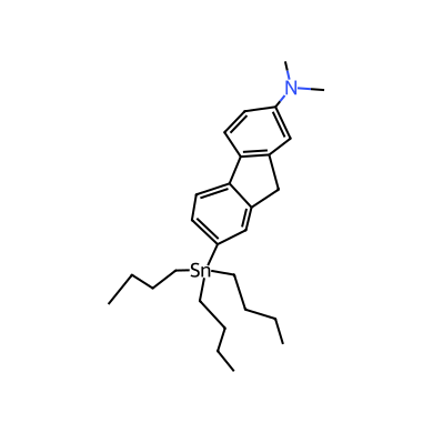 CCC[CH2][Sn]([CH2]CCC)([CH2]CCC)[c]1ccc2c(c1)Cc1cc(N(C)C)ccc1-2